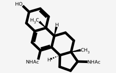 CC(=O)NC1=C2[C@@H](CC[C@]3(C)C(NC(C)=O)CC[C@@H]23)[C@@]2(C)C=CC(O)CC2=C1